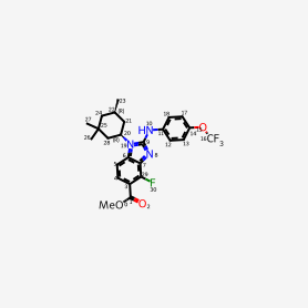 COC(=O)c1ccc2c(nc(Nc3ccc(OC(F)(F)F)cc3)n2[C@@H]2C[C@H](C)CC(C)(C)C2)c1F